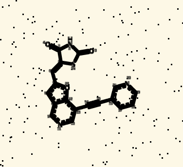 O=C1NC(=O)C(=Cc2cc3cncc(C#Cc4cccnc4)c3o2)S1